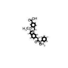 COc1cc(C(=O)O)ccc1Cn1ccc2ccc(CC(=O)N(C)c3ccccc3)cc21